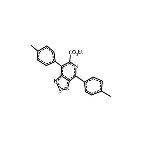 CCOC(=O)c1nc(-c2ccc(C)cc2)c2nsnc2c1-c1ccc(C)cc1